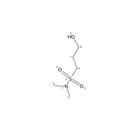 CN(C)S(=O)(=O)CCCO